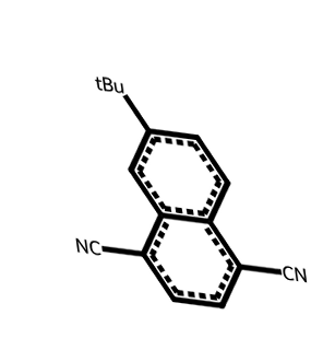 CC(C)(C)c1ccc2c(C#N)ccc(C#N)c2c1